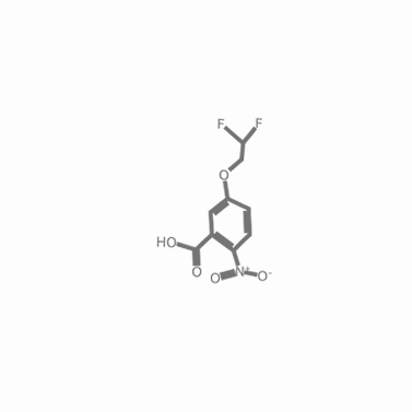 O=C(O)c1cc(OCC(F)F)ccc1[N+](=O)[O-]